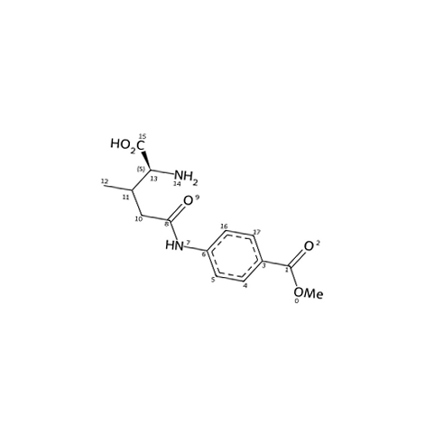 COC(=O)c1ccc(NC(=O)CC(C)[C@H](N)C(=O)O)cc1